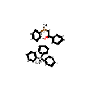 CCCC[B-](c1ccccc1)(c1ccccc1)c1ccccc1.C[S+](CC(=O)c1ccccc1)c1ccccc1